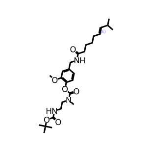 COc1cc(CNC(=O)CCCC/C=C/C(C)C)ccc1OC(=O)N(C)CCNC(=O)OC(C)(C)C